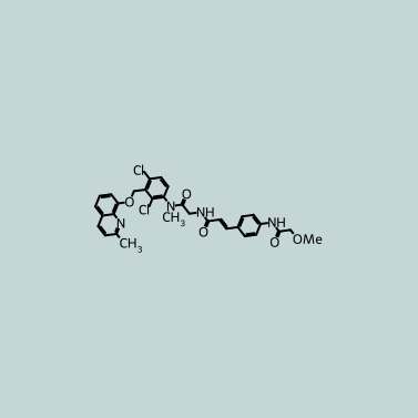 COCC(=O)Nc1ccc(/C=C/C(=O)NCC(=O)N(C)c2ccc(Cl)c(COc3cccc4ccc(C)nc34)c2Cl)cc1